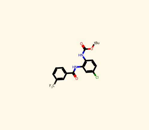 CC(C)(C)OC(=O)Nc1ccc(Cl)cc1NC(=O)c1cccc(C(F)(F)F)c1